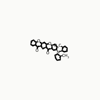 Cc1ccccc1N(c1ccc2oc3cc4oc5ccccc5c(=O)c4cc3c(=O)c2c1)c1ccccc1C